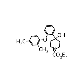 CCOC(=O)N1CCC(O)(c2ccccc2Oc2ccc(C)cc2C)CC1